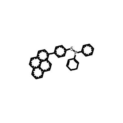 C1=CC(P(Sc2ccc(-c3ccc4ccc5cccc6ccc3c4c56)cc2)c2ccccc2)=CCC1